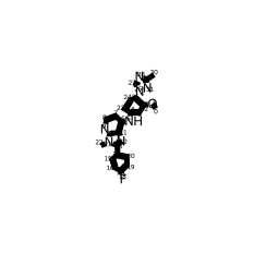 COc1cc(Nc2ccnc3c2nc(-c2ccc(F)cc2)n3C)ccc1-n1cnc(C)n1